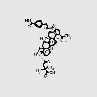 C=C(C)[C@@H]1CC[C@]2(C(=O)NCc3ccc(C(=O)O)cc3)CC[C@]3(C)[C@H](CC[C@@H]4[C@@]5(C)CC[C@H](OC(=O)CC(C)(C)C(=O)O)C(C)(C)[C@@H]5CC[C@]43C)[C@@H]12